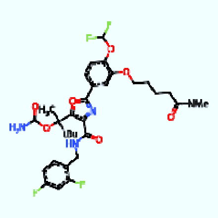 CNC(=O)CCCCOc1cc(-c2nc(C(=O)NCc3ccc(F)cc3F)c(C(C)(OC(N)=O)C(C)(C)C)o2)ccc1OC(F)F